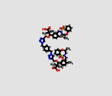 Cc1ccc(C(OCc2cn(Cc3ccc(Cn4cc(COC(c5ccc(C)c(CN6C[C@@H](C)Oc7ccccc7S6(=O)=O)c5)C(C)(C)C(=O)O)nn4)cc3)nn2)C(C)(C)C(=O)O)cc1CN1C[C@@H](C)Oc2ccccc2S1(=O)=O